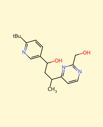 CC(CC(O)c1ccc(C(C)(C)C)nc1)c1ccnc(CO)n1